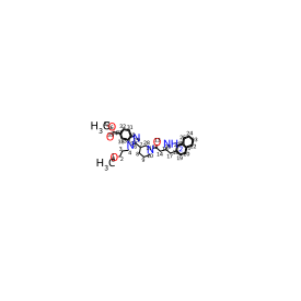 COCCCn1c(C2CCCN(C(=O)C[C@H](N)Cc3ccc4ccccc4c3)C2)nc2ccc(C(=O)OC)cc21